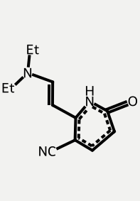 CCN(/C=C/c1[nH]c(=O)ccc1C#N)CC